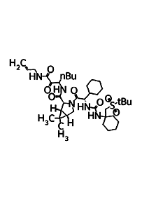 C=CCNC(=O)C(=O)C(CCCC)NC(=O)[C@@H]1[C@@H]2[C@H](CN1C(=O)[C@@H](NC(=O)NC1(CS(=O)(=O)C(C)(C)C)CCCCC1)C1CCCCC1)C2(C)C